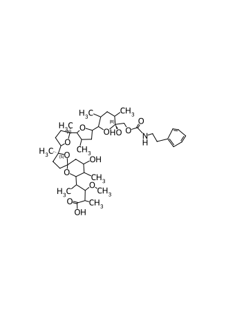 COC(C(C)C(=O)O)C(C)C1OC2(CC[C@@](C)(C3CC[C@@](C)(C4OC(C5O[C@@](O)(COC(=O)NCCc6ccccc6)C(C)CC5C)CC4C)O3)O2)CC(O)C1C